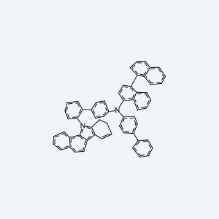 C1=Cc2c(n(-c3ccccc3-c3ccc(N(c4ccc(-c5ccccc5)cc4)c4ccc(-c5cccc6ccccc56)c5ccccc45)cc3)c3c2ccc2ccccc23)CC1